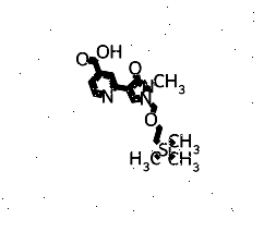 Cn1c(=O)c(-c2cc(C(=O)O)ccn2)cn1COCC[Si](C)(C)C